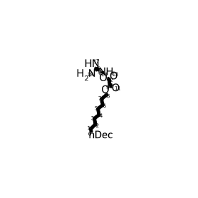 CCCCCCCCCCCCCCCCCCOC(=O)C(=O)ONC(=N)N